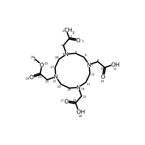 CC(=O)CN1CCN(CC(=O)O)CCN(CC(=O)O)CCN(CC(=O)OI)CC1